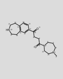 CN1CCCN(C(=O)CCC(=O)c2ccc3c(c2)CCNCC3)CC1